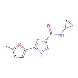 Cc1ccc(-c2cc(C(=O)NC3CC3)n[nH]2)o1